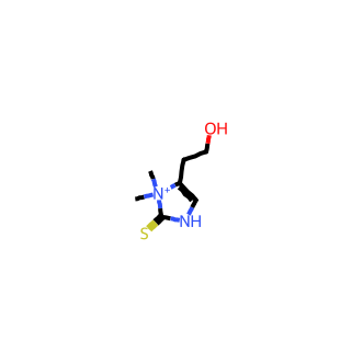 C[N+]1(C)C(=S)NC=C1CCO